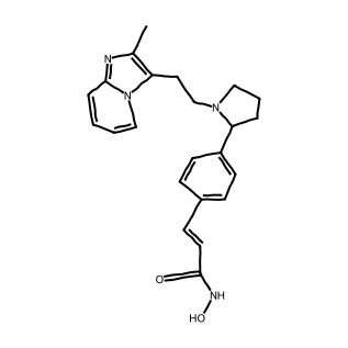 Cc1nc2ccccn2c1CCN1CCCC1c1ccc(/C=C/C(=O)NO)cc1